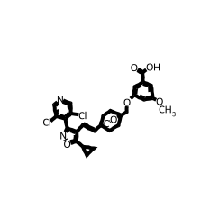 COc1cc(OCC23CCC(/C=C/c4c(-c5c(Cl)cncc5Cl)noc4C4CC4)(CC2)CO3)cc(C(=O)O)c1